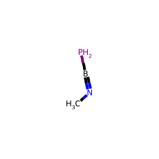 CN=BP